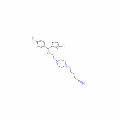 Cc1ccc(C(OCCN2CCN(CCCCC#N)CC2)c2ccc(F)cc2)s1